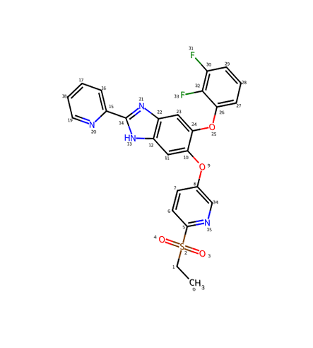 CCS(=O)(=O)c1ccc(Oc2cc3[nH]c(-c4ccccn4)nc3cc2Oc2cccc(F)c2F)cn1